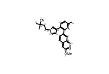 COc1cc2ccc(-c3nc(C)ccc3-c3cnn(CCC(C)(C)C#N)c3)cc2nn1